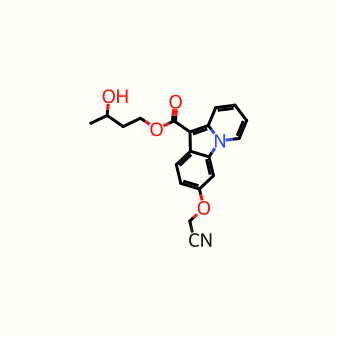 CC(O)CCOC(=O)c1c2ccc(OCC#N)cc2n2ccccc12